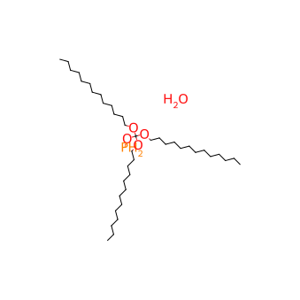 CCCCCCCCCCCCCOC(OP)(OCCCCCCCCCCCCC)OCCCCCCCCCCCCC.O